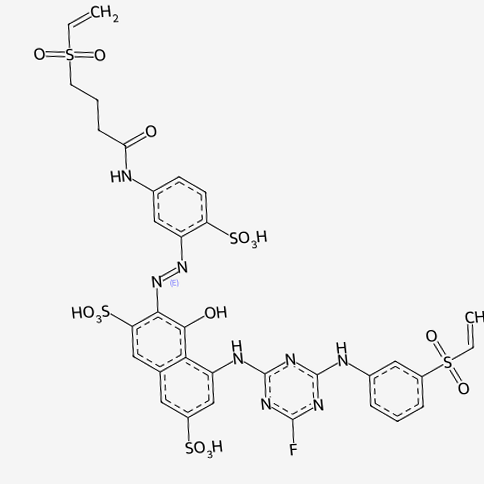 C=CS(=O)(=O)CCCC(=O)Nc1ccc(S(=O)(=O)O)c(/N=N/c2c(S(=O)(=O)O)cc3cc(S(=O)(=O)O)cc(Nc4nc(F)nc(Nc5cccc(S(=O)(=O)C=C)c5)n4)c3c2O)c1